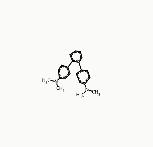 CN(C)c1ccc(-c2ccccc2-c2ccc(N(C)C)cc2)cc1